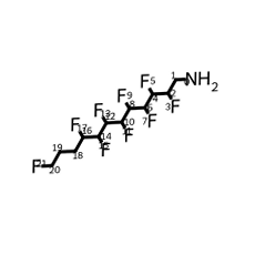 NCC(F)C(F)C(F)C(F)C(F)C(F)C(F)C(F)CCCF